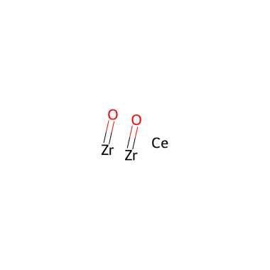 [Ce].[O]=[Zr].[O]=[Zr]